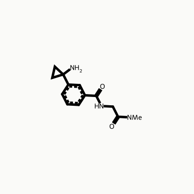 CNC(=O)CNC(=O)c1cccc(C2(N)CC2)c1